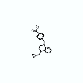 COC(=O)c1ccc(CN2CCN(CC3CC3)c3ccccc32)cc1